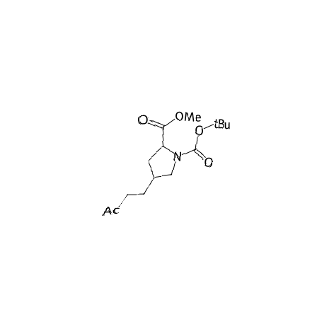 COC(=O)C1CC(CCC(C)=O)CN1C(=O)OC(C)(C)C